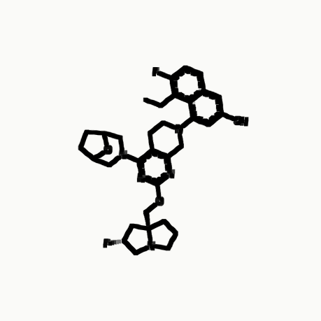 CCc1c(F)ccc2cc(O)cc(N3CCc4c(nc(OC[C@@]56CCCN5C[C@H](F)C6)nc4N4CC5CCC(C4)O5)C3)c12